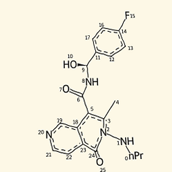 CCCNn1c(C)c(C(=O)N[C@@H](O)c2ccc(F)cc2)c2cnccc2c1=O